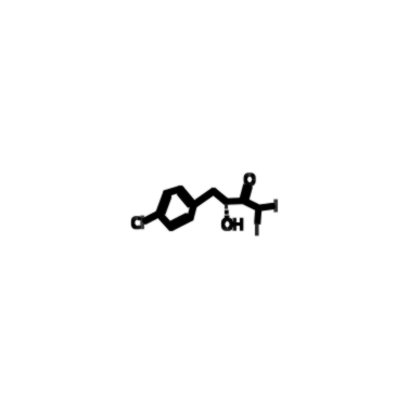 O=C(C(I)I)[C@H](O)Cc1ccc(Cl)cc1